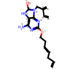 C=CC/C=C/CCOc1nc(N)c2c(n1)N(CC(=C)C=C)C(O)N2